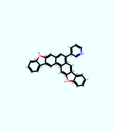 c1cncc(-c2cc3cc4oc5ccccc5c4cc3c3cc4oc5ccccc5c4cc23)c1